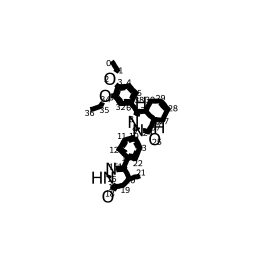 CCOc1ccc(C2=NN(c3ccc(C4=NNC(=O)CC4C)cc3)C(=O)[C@H]3CC=CC[C@@H]23)cc1OCC